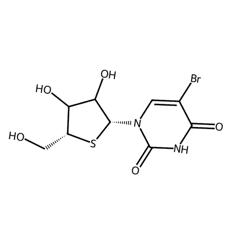 O=c1[nH]c(=O)n([C@@H]2S[C@H](CO)C(O)C2O)cc1Br